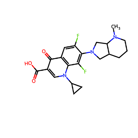 CN1CCCC2CN(c3c(F)cc4c(=O)c(C(=O)O)cn(C5CC5)c4c3F)CC21